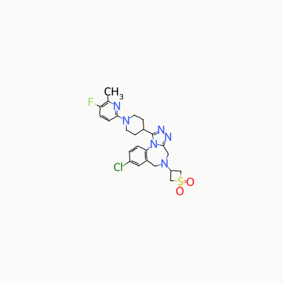 Cc1nc(N2CCC(c3nnc4n3-c3ccc(Cl)cc3CN(C3CS(=O)(=O)C3)C4)CC2)ccc1F